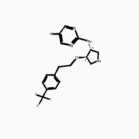 Fc1cnc(N[C@@H]2CNC[C@H]2OCCc2ccc(C(F)(F)F)cc2)nc1